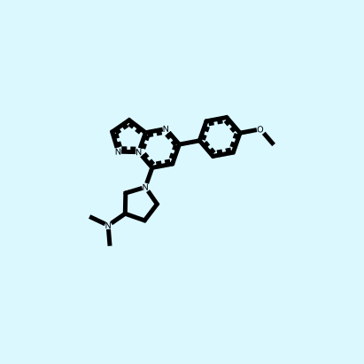 COc1ccc(-c2cc(N3CCC(N(C)C)C3)n3nccc3n2)cc1